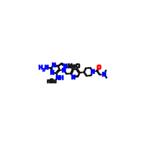 CCCCNc1nc(N)nc2cnn(Cc3ncc(C4CCN(C(=O)CN(C)C)CC4)cc3OC)c12